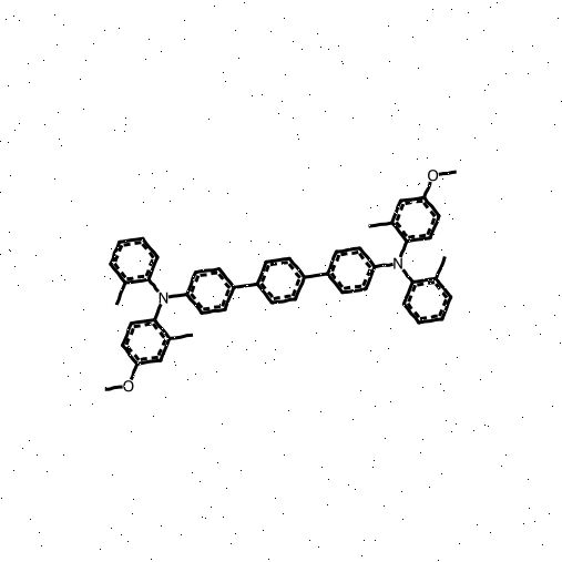 COc1ccc(N(c2ccc(-c3ccc(-c4ccc(N(c5ccccc5C)c5ccc(OC)cc5C)cc4)cc3)cc2)c2ccccc2C)c(C)c1